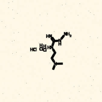 CN(C)CCNC(=N)NN.Cl.Cl.Cl